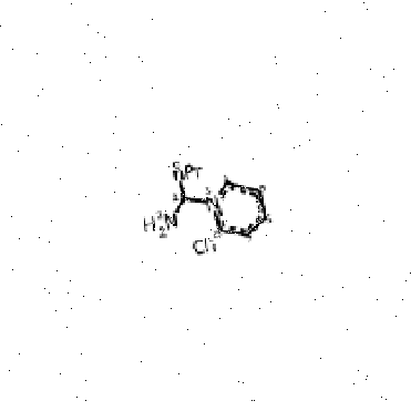 CCCC(N)[n+]1ccccc1.[Cl-]